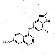 COc1[c]cc2c(Oc3cc(F)c4[nH]c(C)cc4c3)ncnc2c1